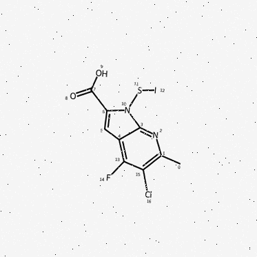 Cc1nc2c(cc(C(=O)O)n2SI)c(F)c1Cl